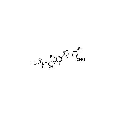 CCc1cc(-c2noc(-c3cc(C=O)cc(C(C)C)c3)n2)cc(C)c1OCC(O)CNC(=O)CO